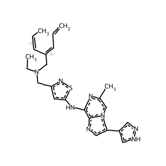 C=C/C=C(\C=C/C)CN(CC)Cc1cc(Nc2nc(C)cn3c(-c4cn[nH]c4)cnc23)sn1